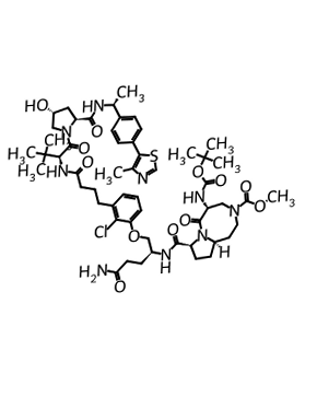 COC(=O)N1CC[C@H]2CC[C@@H](C(=O)N[C@@H](CCC(N)=O)COc3cccc(CCCC(=O)N[C@H](C(=O)N4C[C@H](O)C[C@H]4C(=O)N[C@@H](C)c4ccc(-c5scnc5C)cc4)C(C)(C)C)c3Cl)N2C(=O)[C@@H](NC(=O)OC(C)(C)C)C1